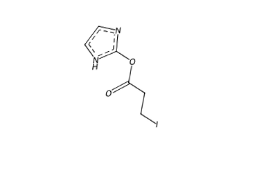 O=C(CCI)Oc1ncc[nH]1